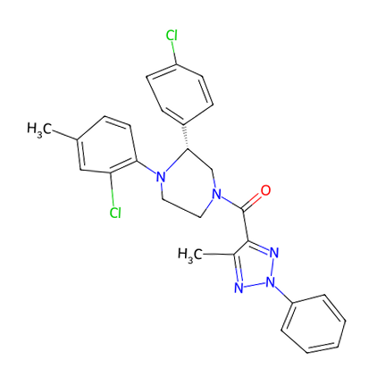 Cc1ccc(N2CCN(C(=O)c3nn(-c4ccccc4)nc3C)C[C@H]2c2ccc(Cl)cc2)c(Cl)c1